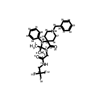 CC1(C)N(CC(=O)NCC(F)(F)F)C(=O)C2(CCN(Cc3ccccc3)CC2)N1c1ccccc1